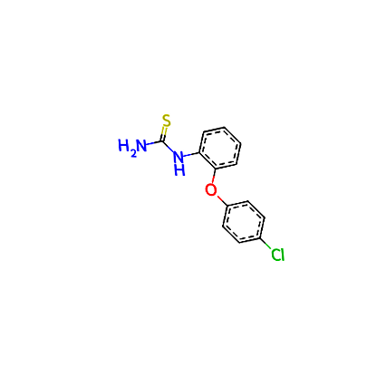 NC(=S)Nc1ccccc1Oc1ccc(Cl)cc1